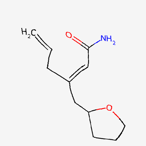 C=CCC(=CC(N)=O)CC1CCCO1